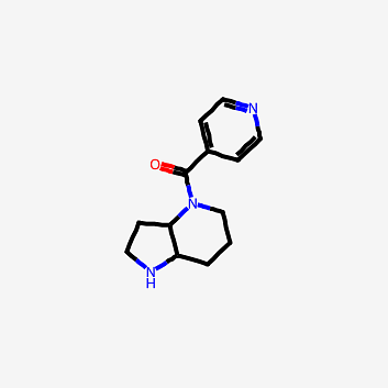 O=C(c1ccncc1)N1CCCC2NCCC21